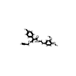 C#CCOC=C(C(=O)NCCc1ccc(OC)c(OC)c1)c1ccc(C)cc1